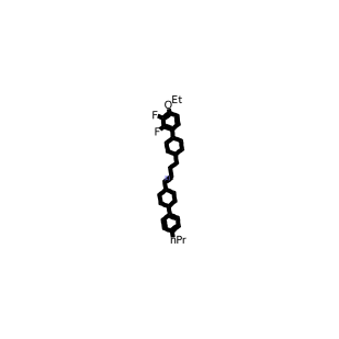 CCCc1ccc(C2CCC(/C=C/CCC3CCC(c4ccc(OCC)c(F)c4F)CC3)CC2)cc1